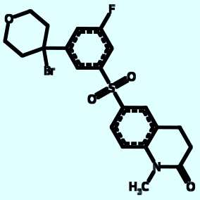 CN1C(=O)CCc2cc(S(=O)(=O)c3cc(F)cc(C4(Br)CCOCC4)c3)ccc21